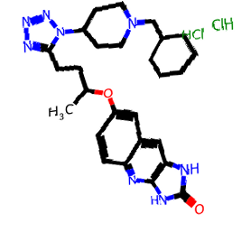 CC(CCc1nnnn1C1CCN(CC2CCCCC2)CC1)Oc1ccc2nc3[nH]c(=O)[nH]c3cc2c1.Cl.Cl